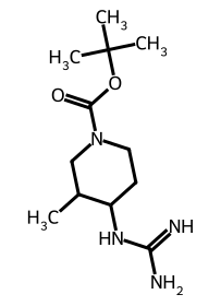 CC1CN(C(=O)OC(C)(C)C)CCC1NC(=N)N